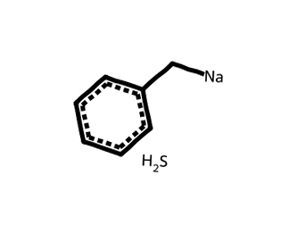 S.[Na][CH2]c1ccccc1